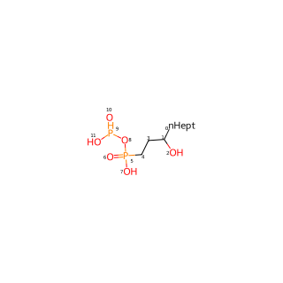 CCCCCCCC(O)CCP(=O)(O)O[PH](=O)O